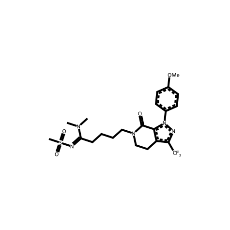 COc1ccc(-n2nc(C(F)(F)F)c3c2C(=O)N(CCCCC(=NS(C)(=O)=O)N(C)C)CC3)cc1